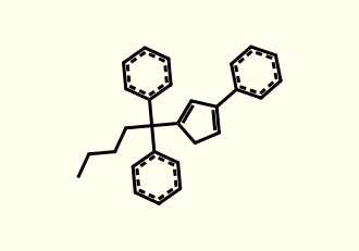 CCCCC(C1=CC(c2ccccc2)=CC1)(c1ccccc1)c1ccccc1